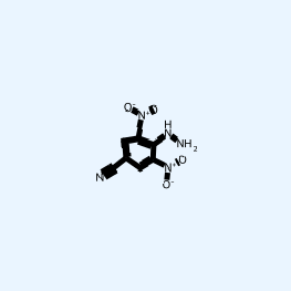 N#Cc1cc([N+](=O)[O-])c(NN)c([N+](=O)[O-])c1